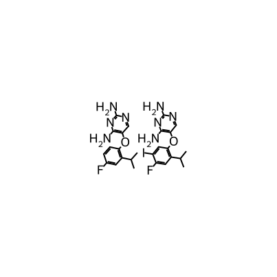 CC(C)c1cc(F)c(I)cc1Oc1cnc(N)nc1N.CC(C)c1cc(F)ccc1Oc1cnc(N)nc1N